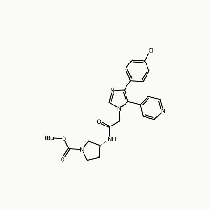 CC(C)(C)OC(=O)N1CC[C@@H](NC(=O)Cn2cnc(-c3ccc(Cl)cc3)c2-c2ccncc2)C1